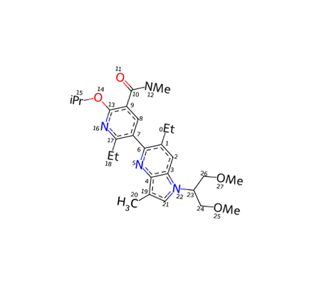 CCc1cc2c(nc1-c1cc(C(=O)NC)c(OC(C)C)nc1CC)c(C)cn2C(COC)COC